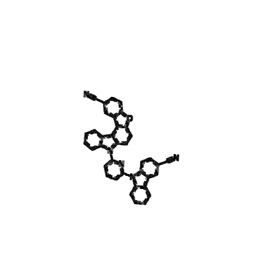 N#Cc1ccc2oc3ccc4c(c5ccccc5n4-c4cccc(-n5c6ccccc6c6cc(C#N)ccc65)n4)c3c2c1